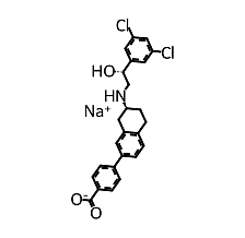 O=C([O-])c1ccc(-c2ccc3c(c2)C[C@@H](NC[C@H](O)c2cc(Cl)cc(Cl)c2)CC3)cc1.[Na+]